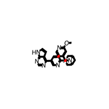 COc1cc(CN2C3CC2CN(c2ccc(-c4ncnc5[nH]ccc45)cn2)C3)ccn1